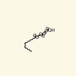 CCCCC/C=C\C/C=C\CCCCCCCC(=O)OCCOC(=O)CSSCC(=O)O